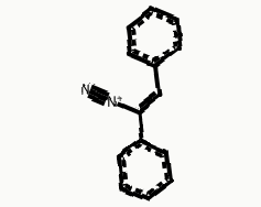 N#[N+]C(=Cc1ccccc1)c1ccccc1